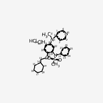 CN(c1ccncc1)c1ccc(OCC2CCCCC2)c(N(c2ccccc2)S(C)(=O)=O)c1.Cl.Cl